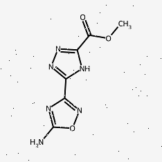 COC(=O)c1nnc(-c2noc(N)n2)[nH]1